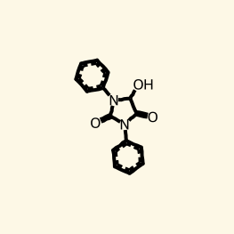 O=C1C(O)N(c2ccccc2)C(=O)N1c1ccccc1